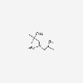 CCCCN(CC(C)O)CC(C)(C)C=O